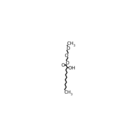 CCCCCCCCCCC(O)C(=O)OCCOCCOCC